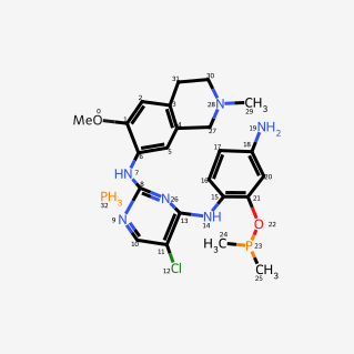 COc1cc2c(cc1Nc1ncc(Cl)c(Nc3ccc(N)cc3OP(C)C)n1)CN(C)CC2.P